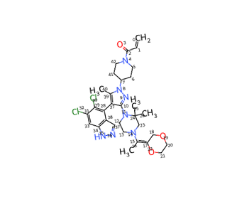 C=CC(=O)N1CCC(n2nc(N3CCN(/C(C)=C4\COCCO4)CC3(C)C)c(-c3c(Cl)c(Cl)cc4[nH]ncc34)c2C)CC1